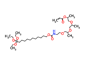 C=CC(=O)OC(C)COC(C)COC(C)COCCNC(=O)OCCCCCCCCCCC[Si](OCC)(OCC)OCC